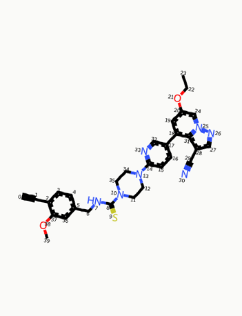 C#Cc1ccc(CNC(=S)N2CCN(c3ccc(-c4cc(OCC)cn5ncc(C#N)c45)cn3)CC2)cc1OC